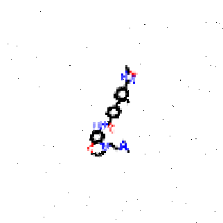 Cc1nc(-c2ccc(-c3ccc(C(=O)Nc4ccc5c(c4)N(CCN(C)C)CCCO5)cc3)c(C)c2)no1